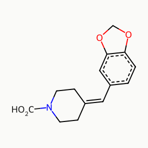 O=C(O)N1CCC(=Cc2ccc3c(c2)OCO3)CC1